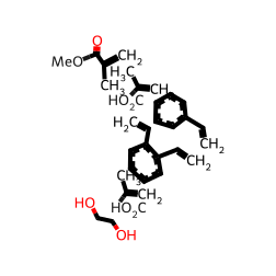 C=C(C)C(=O)O.C=C(C)C(=O)O.C=C(C)C(=O)OC.C=Cc1ccccc1.C=Cc1ccccc1C=C.OCCO